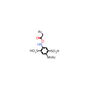 CC(=O)CC(=O)ONc1cc(S(=O)(=O)O)c(NC(C)=O)cc1S(=O)(=O)O